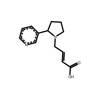 O=C(O)C=CCN1CCCC1c1cccnc1